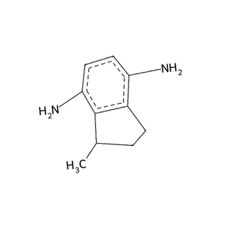 CC1CCc2c(N)ccc(N)c21